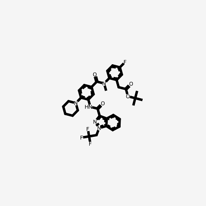 CN(C(=O)c1ccc(N2CCCCC2)c(NC(=O)c2nn(CC(F)(F)F)c3ccccc23)c1)c1ccc(F)cc1CC(=O)OC(C)(C)C